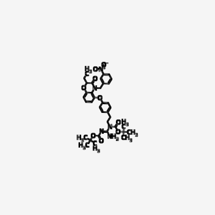 CCC1Oc2cccc(Oc3ccc(CCN(C(=O)OC(C)(C)C)C(N)=NC(=O)OC(C)(C)C)cc3)c2N(Cc2cccc([N+](=O)[O-])c2)C1=O